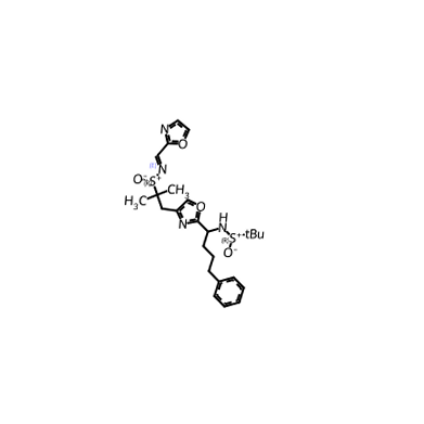 CC(C)(C)[S@+]([O-])NC(CCCc1ccccc1)c1nc(CC(C)(C)[S@+]([O-])/N=C/c2ncco2)co1